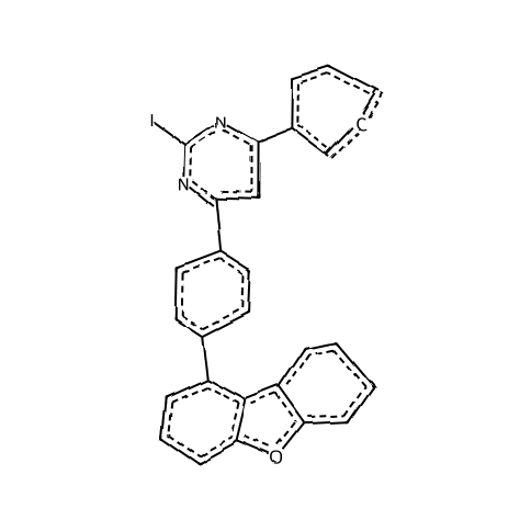 Ic1nc(-c2ccccc2)cc(-c2ccc(-c3cccc4oc5ccccc5c34)cc2)n1